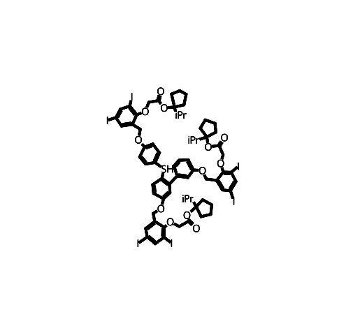 CC(C)C1(OC(=O)COc2c(I)cc(I)cc2COc2ccc([SH]3c4ccc(OCc5cc(I)cc(I)c5OCC(=O)OC5(C(C)C)CCCC5)cc4-c4cc(OCc5cc(I)cc(I)c5OCC(=O)OC5(C(C)C)CCCC5)ccc43)cc2)CCCC1